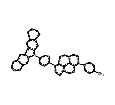 Cc1ccc(-c2ccc3ccc4c(-c5ccc(-n6c7cc8ccccc8cc7c7cc8ccccc8cc76)cc5)ccc5ccc2c3c54)cc1